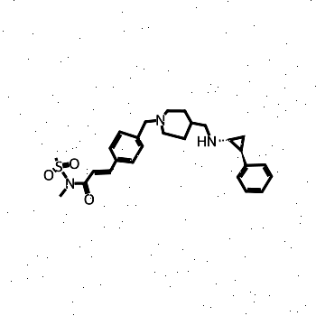 CN(C(=O)C=Cc1ccc(CN2CCC(CN[C@@H]3C[C@H]3c3ccccc3)CC2)cc1)S(C)(=O)=O